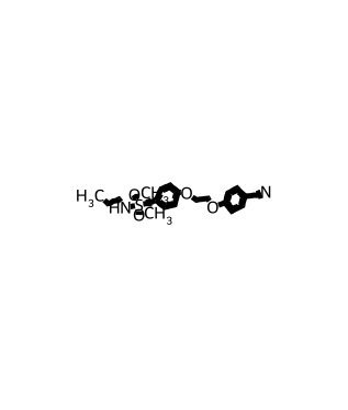 CCCNS(=O)(=O)C(C)(C)c1ccc(OCCOc2ccc(C#N)cc2)cc1